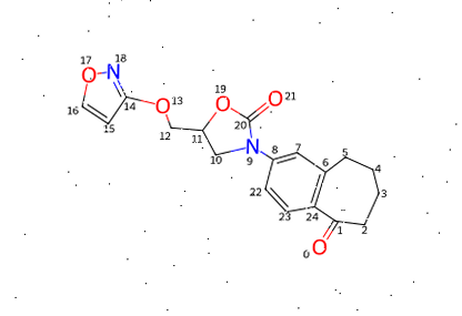 O=C1CCCCc2cc(N3CC(COc4ccon4)OC3=O)ccc21